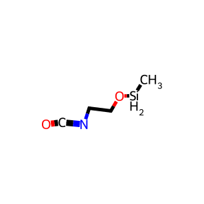 C[SiH2]OCCN=C=O